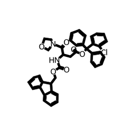 O=C(CC(NC(=O)OCC1c2ccccc2-c2ccccc21)C(=O)N1CCOC1)OC(c1ccccc1)(c1ccccc1)c1ccccc1Cl